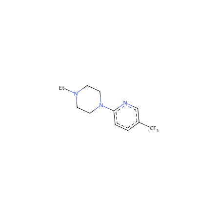 CCN1CCN(c2ccc(C(F)(F)F)cn2)CC1